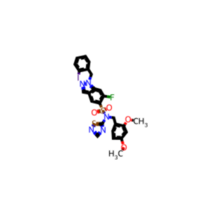 COc1ccc(CN(c2ncns2)S(=O)(=O)c2cc3cnn(Cc4ccccc4I)c3cc2F)c(OC)c1